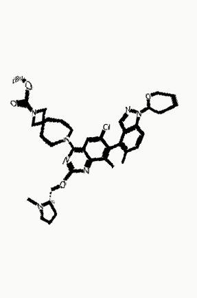 Cc1ccc2c(cnn2C2CCCCO2)c1-c1c(Cl)cc2c(N3CCC4(CC3)CN(C(=O)OC(C)(C)C)C4)nc(OC[C@@H]3CCCN3C)nc2c1C